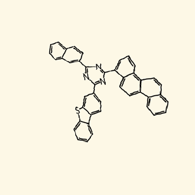 c1ccc2cc(-c3nc(-c4ccc5c(c4)sc4ccccc45)nc(-c4cccc5c4ccc4c6ccccc6ccc54)n3)ccc2c1